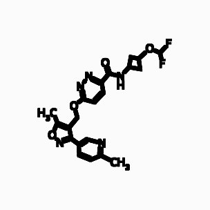 Cc1ccc(-c2noc(C)c2COc2ccc(C(=O)NC3CC(OC(F)F)C3)nn2)cn1